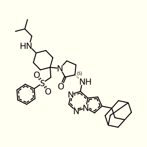 CC(C)CNC1CCC(CS(=O)(=O)c2ccccc2)(N2CC[C@H](Nc3ncnn4cc(C56CC7CC(CC(C7)C5)C6)cc34)C2=O)CC1